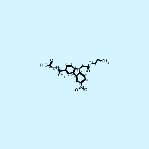 CCCOC(=O)Cn1c2ccc(/C(C)=N/OC(C)=O)cc2c2cc([N+](=O)[O-])ccc21